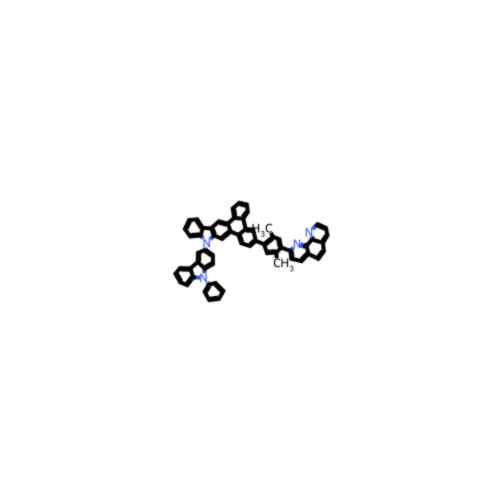 Cc1cc(-c2ccc3ccc4cccnc4c3n2)c(C)cc1-c1ccc2c(c1)c1ccccc1c1cc3c4ccccc4n(-c4ccc5c(c4)c4ccccc4n5-c4ccccc4)c3cc21